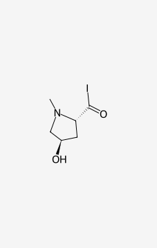 CN1C[C@H](O)C[C@H]1C(=O)I